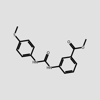 COC(=O)c1cccc(NC(=O)Nc2ccc(SC)cc2)c1